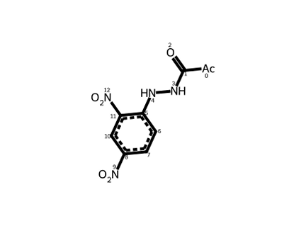 CC(=O)C(=O)NNc1ccc([N+](=O)[O-])cc1[N+](=O)[O-]